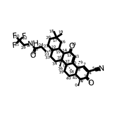 C[C@@H]1C(=O)C(C#N)=C[C@]2(C)C3=CC(=O)C4C5CC(C)(C)CC[C@]5(CCC(=O)NCC(F)(F)F)CC[C@@]4(C)[C@]3(C)CCC12